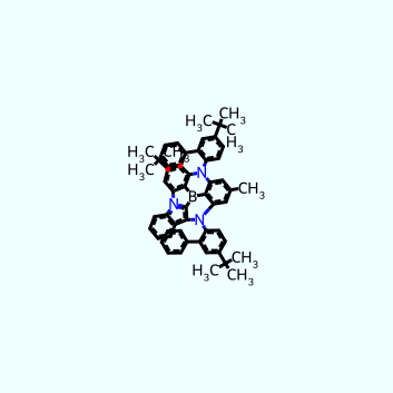 Cc1cc2c3c(c1)N(c1ccc(C(C)(C)C)cc1-c1ccccc1)c1c4n(c5ccccc15)-c1cc(C(C)(C)C)cc(c1B34)N2c1ccc(C(C)(C)C)cc1-c1ccccc1